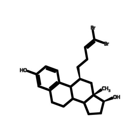 C[C@]12C[C@H](CCC=C(Br)Br)C3c4ccc(O)cc4CCC3C1CC[C@@H]2O